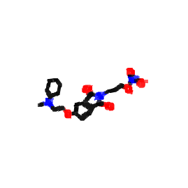 CN(CCOc1ccc2c(c1)C(=O)N(CCCO[N+](=O)[O-])C2=O)C1CCCCC1